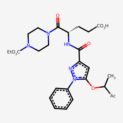 CCOC(=O)N1CCN(C(=O)[C@H](CCC(=O)O)NC(=O)c2cc(OC(C)C(C)=O)n(-c3ccccc3)n2)CC1